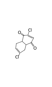 O=C1C=C(Cl)C(=O)C2CC=C(Cl)CC12